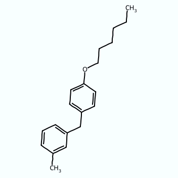 CCCCCCOc1ccc(Cc2cccc(C)c2)cc1